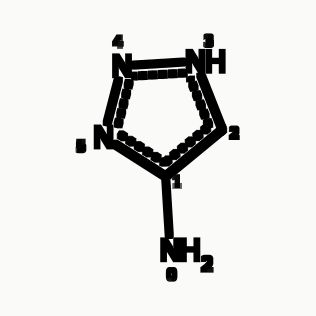 Nc1c[nH]nn1